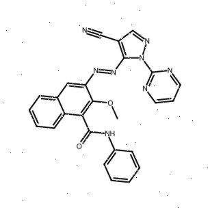 COc1c(/N=N/c2c(C#N)cnn2-c2ncccn2)cc2ccccc2c1C(=O)Nc1ccccc1